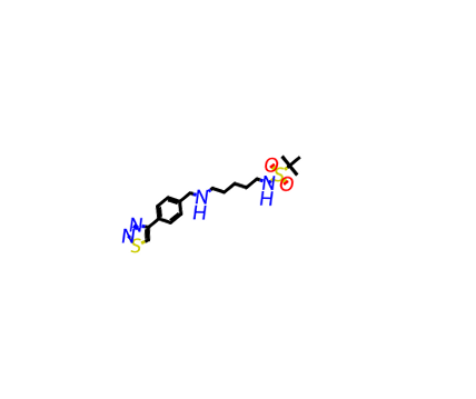 CC(C)(C)S(=O)(=O)NCCCCCNCc1ccc(-c2csnn2)cc1